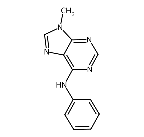 Cn1cnc2c(Nc3ccccc3)ncnc21